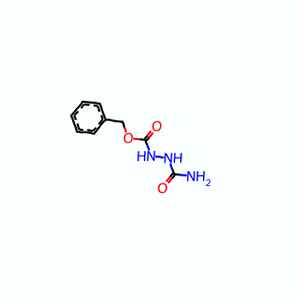 NC(=O)NNC(=O)OCc1ccccc1